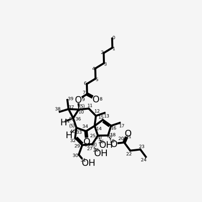 CCCCCCCC(=O)O[C@@]12CC(C)C34C=C(C)[C@H](OC(=O)CCC)[C@@]3(O)[C@H](O)C(CO)=C[C@H](C4=O)[C@@H]1C2(C)C